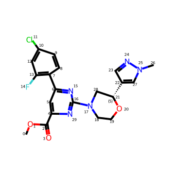 COC(=O)c1cc(-c2ccc(Cl)cc2F)nc(N2CCO[C@@H](c3cnn(C)c3)C2)n1